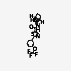 O=C(N[C@@H]1C[C@H]2CC[C@@H]1N2)c1cnc(-c2cccc(OC(F)(F)F)c2)s1